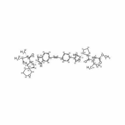 COC(=O)N[C@H](C(=O)N1CCC[C@H]1c1ncc(-c2ccc(C#Cc3ccc4nc([C@@H]5C[C@@]6(CCCOC6)CN5C(=O)[C@@H](C)C(C)C)[nH]c4c3)cc2)[nH]1)C(C)C